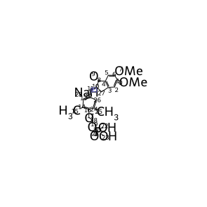 COc1cc2c(cc1OC)C(=O)/C(=C/c1cc(C)c(OCOP(=O)(O)O)c(C)c1)C2.[NaH]